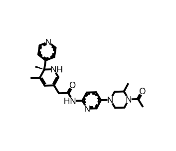 CC(=O)N1CCN(c2ccc(NC(=O)CC3=CN[C@@](C)(c4ccncc4)C(C)=C3)nc2)CC1C